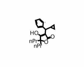 CCCC1(CCC)OC(=O)C(C(c2[c]cccc2)C2CC2)=C1O